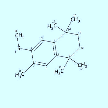 CSc1cc2c(cc1C)C(C)(C)CCC2(C)C